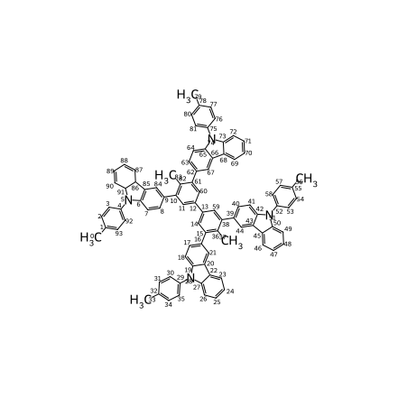 Cc1ccc(N2c3ccc(-c4cc(-c5cc(-c6ccc7c(c6)c6ccccc6n7-c6ccc(C)cc6)c(C)c(-c6ccc7c(c6)c6ccccc6n7-c6ccc(C)cc6)c5)cc(-c5ccc6c(c5)c5ccccc5n6-c5ccc(C)cc5)c4C)cc3C3C=CC=CC32)cc1